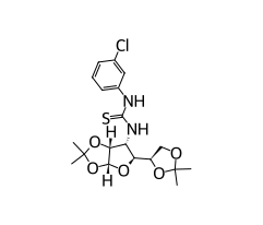 CC1(C)O[C@H]2O[C@H]([C@H]3COC(C)(C)O3)[C@@H](NC(=S)Nc3cccc(Cl)c3)[C@H]2O1